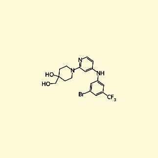 OCC1(O)CCN(c2cc(Nc3cc(Br)cc(C(F)(F)F)c3)ccn2)CC1